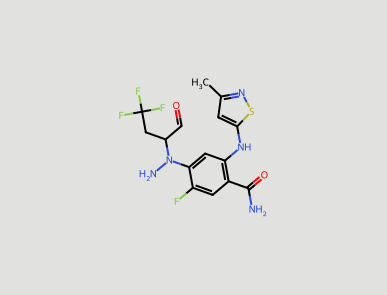 Cc1cc(Nc2cc(N(N)C(C=O)CC(F)(F)F)c(F)cc2C(N)=O)sn1